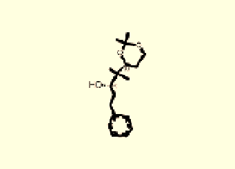 CC1(C)OCC[C@@H](C(C)(C)[C@@H](O)CCc2ccccc2)O1